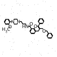 COc1ccccc1N1CCN(CCCNC(=O)c2cccc3c2OC(c2ccccc2)=C(COCc2ccccc2)C3)CC1